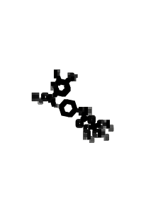 CN(C[C@H]1CC[C@H](NC(=O)OC(C)(C)C)CC1)c1ccc(Br)c(F)n1